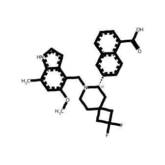 COc1cc(C)c2[nH]ccc2c1CN1CCC2(C[C@H]1c1ccc3c(C(=O)O)cccc3c1)CC(F)(F)C2